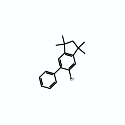 CC1(C)CC(C)(C)c2cc(-c3ccccc3)c(Br)cc21